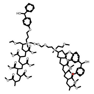 CCOCC(CC(CC(CC(CC(CC(CC(C)C(=O)OC)C(=O)OC)C(=O)OC)C(=O)OC)C(=O)OC)C(=O)OC)[N+](C)(CCCOc1ccc(C(O)c2ccccc2)cc1)CCOCOCC[N+](C)(CCOC)C(CCOc1ccc(C(O)c2ccccc2)cc1)CC(CC(CC(CC(CC(C)C(=O)OC)C(=O)OC)C(=O)OC)C(=O)OC)C(=O)OC